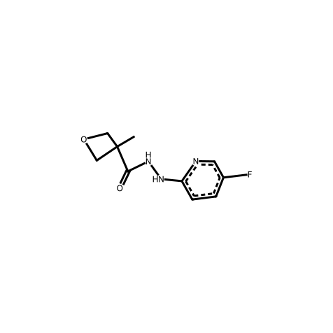 CC1(C(=O)NNc2ccc(F)cn2)COC1